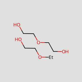 CCOCCO.OCCOCCO